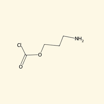 NCCCOC(=O)Cl